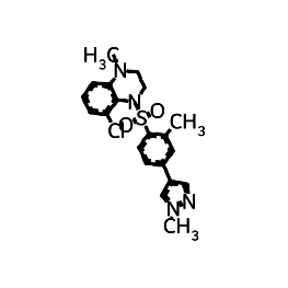 Cc1cc(-c2cnn(C)c2)ccc1S(=O)(=O)N1CCN(C)c2cccc(Cl)c21